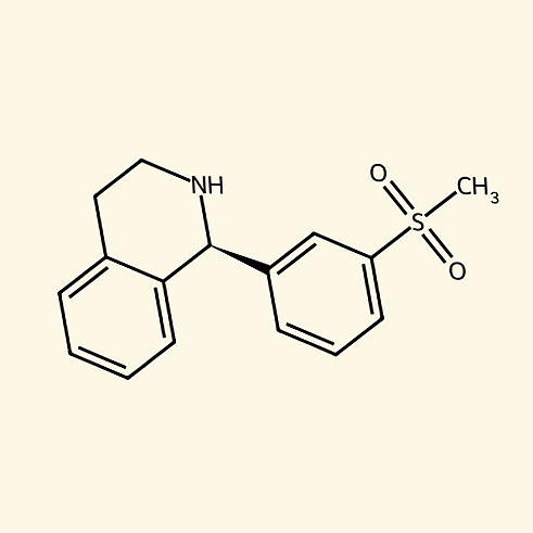 CS(=O)(=O)c1cccc([C@@H]2NCCc3ccccc32)c1